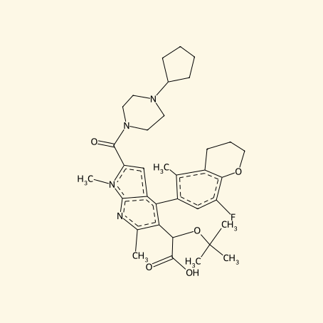 Cc1nc2c(cc(C(=O)N3CCN(C4CCCC4)CC3)n2C)c(-c2cc(F)c3c(c2C)CCCO3)c1C(OC(C)(C)C)C(=O)O